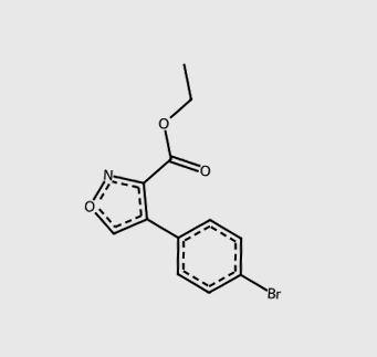 CCOC(=O)c1nocc1-c1ccc(Br)cc1